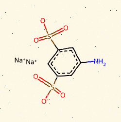 Nc1cc(S(=O)(=O)[O-])cc(S(=O)(=O)[O-])c1.[Na+].[Na+]